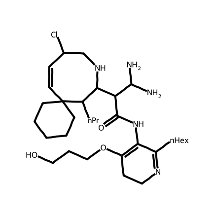 CCCCCCC1=NCCC(OCCCO)=C1NC(=O)C(C(N)N)C1NCC(Cl)/C=C\C2(CCCCC2)C1CCC